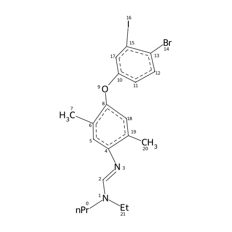 CCCN(C=Nc1cc(C)c(Oc2ccc(Br)c(I)c2)cc1C)CC